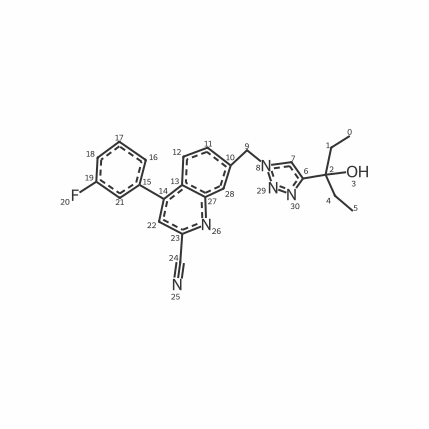 CCC(O)(CC)c1cn(Cc2ccc3c(-c4cccc(F)c4)cc(C#N)nc3c2)nn1